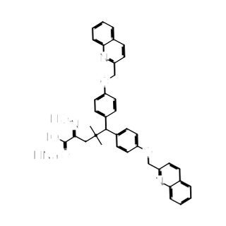 CC(C)(CC(=NO)C(=O)O)C(c1ccc(OCc2ccc3ccccc3n2)cc1)c1ccc(OCc2ccc3ccccc3n2)cc1.[NaH]